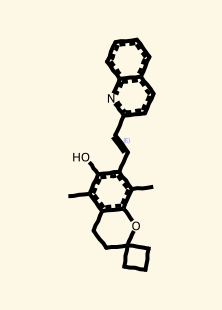 Cc1c(O)c(/C=C/c2ccc3ccccc3n2)c(C)c2c1CCC1(CCC1)O2